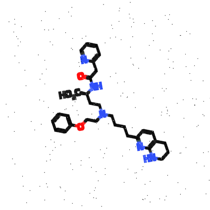 O=C(Cc1ccccn1)N[C@@H](CCN(CCCCc1ccc2c(n1)NCCC2)CCOc1ccccc1)C(=O)O